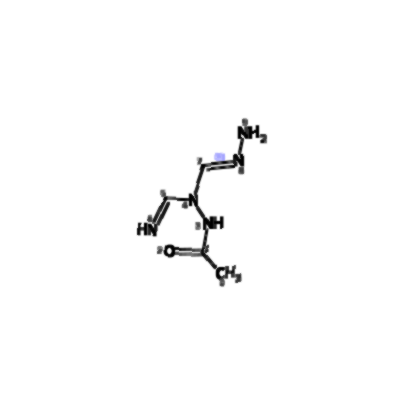 CC(=O)NN(C=N)/C=N/N